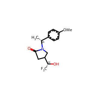 COc1ccc([C@@H](C)N2CC([C@H](O)C(F)(F)F)CC2=O)cc1